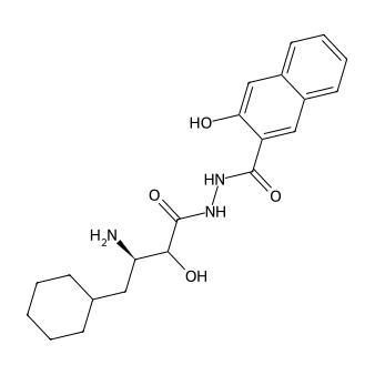 N[C@H](CC1CCCCC1)C(O)C(=O)NNC(=O)c1cc2ccccc2cc1O